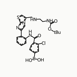 CC(C)(C)OC(=O)NCCNCc1csc2nc(-c3ccccc3NC(=O)c3ccc(B(O)O)cc3Cl)cn12